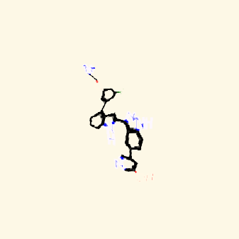 CN(C)CCOc1cc(F)cc(-c2cccc3[nH]c(-c4n[nH]c5ccc(-c6cncc(O)c6)cc45)cc23)c1